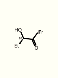 CC[C@@H](O)C(=O)C(C)C